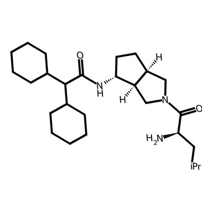 CC(C)C[C@@H](N)C(=O)N1C[C@@H]2CC[C@@H](NC(=O)C(C3CCCCC3)C3CCCCC3)[C@@H]2C1